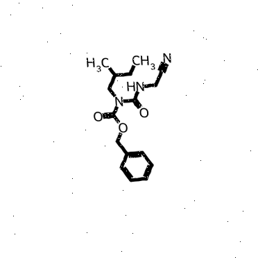 CCC(C)CN(C(=O)NCC#N)C(=O)OCc1ccccc1